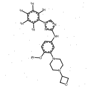 [2H]c1c([2H])c([2H])c(-n2cnc(Nc3ccc(OC(C)C)c(N4CCN(C5COC5)CC4)c3)n2)c([2H])c1[2H]